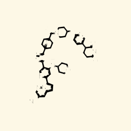 N#Cc1cnn2c(-c3cc(NC4CCOCC4)c(-c4nnc(C56CCC(C(=O)N7CCC(Oc8ccc(C9CCC(=O)NC9=O)cn8)CC7)(CC5)CC6)s4)cn3)ccc2c1